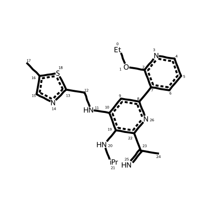 CCOc1ncccc1-c1cc(NCc2ncc(C)s2)c(NC(C)C)c(C(C)=N)n1